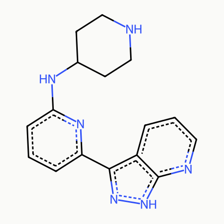 c1cc(NC2CCNCC2)nc(-c2n[nH]c3ncccc23)c1